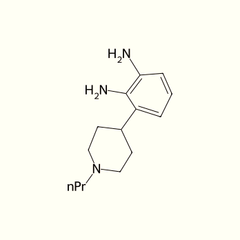 CCCN1CCC(c2cccc(N)c2N)CC1